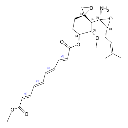 COC(=O)/C=C/C=C/C=C/C=C/C(=O)O[C@@H]1CC[C@]2(CO2)[C@@H]([C@@]2(N)O[C@@H]2CC=C(C)C)[C@@H]1OC